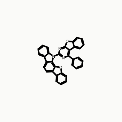 c1ccc(-c2nc(-n3c4ccccc4c4ccc5c6ccccc6oc5c43)nc3oc4ccccc4c23)cc1